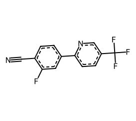 N#Cc1ccc(-c2ccc(C(F)(F)F)cn2)cc1F